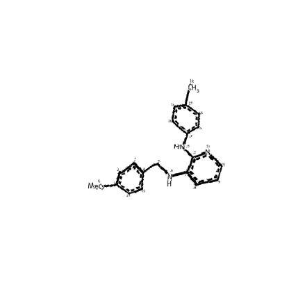 COc1ccc(CNc2cccnc2Nc2ccc(C)cc2)cc1